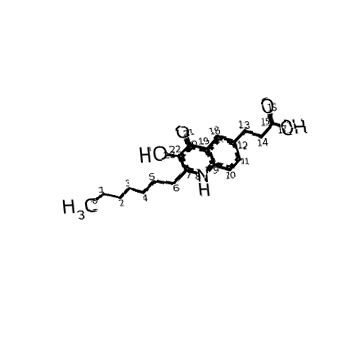 CCCCCCCc1[nH]c2ccc(CCC(=O)O)cc2c(=O)c1O